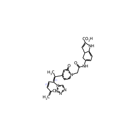 C=C(Cl)/C=C\C(=C(/C)c1ccn(CC(=O)NC2=CC=C3NC(C(=O)O)=CC3C2)c(=O)c1)n1cnnn1